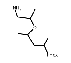 CCCCCCC(C)CC(C)OC(C)CN